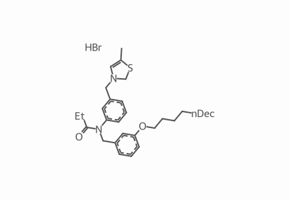 Br.CCCCCCCCCCCCCCOc1cccc(CN(C(=O)CC)c2cccc(CN3C=C(C)SC3)c2)c1